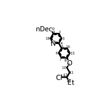 CCCCCCCCCCc1ccc(-c2ccc(OCCC(Cl)CC)cc2)nc1